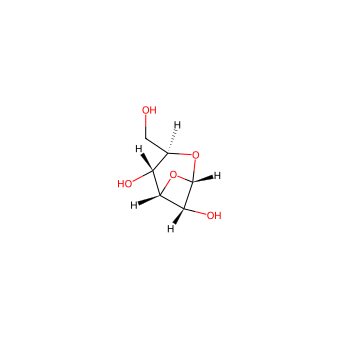 OC[C@H]1O[C@H]2O[C@H]([C@H]2O)[C@@H]1O